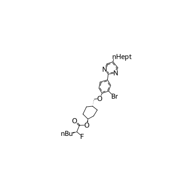 CCCCCCCc1cnc(-c2ccc(OC[C@H]3CC[C@H](OC(=O)[C@@H](F)CCCC)CC3)c(Br)c2)nc1